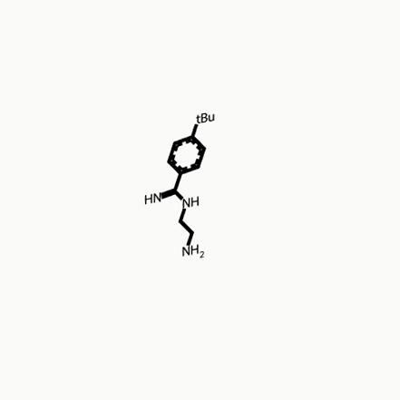 CC(C)(C)c1ccc(C(=N)NCCN)cc1